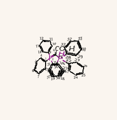 O=C(O)C(=P(c1ccccc1)(c1ccccc1)c1ccccc1)[PH](c1ccccc1)(c1ccccc1)c1ccccc1